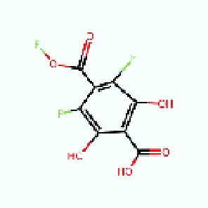 O=C(O)c1c(O)c(F)c(C(=O)OF)c(F)c1O